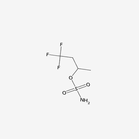 CC(CC(F)(F)F)OS(N)(=O)=O